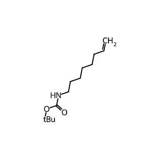 C=CCCCCCCNC(=O)OC(C)(C)C